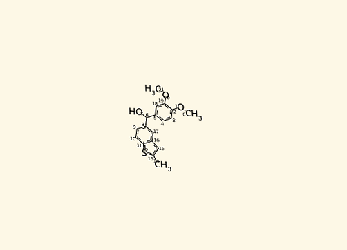 COc1ccc(C(O)c2ccc3sc(C)cc3c2)cc1OC